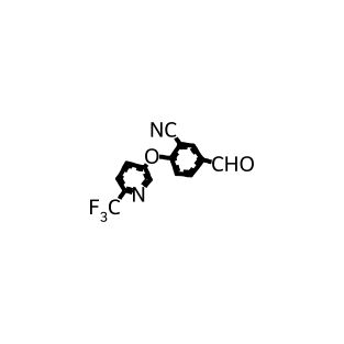 N#Cc1cc(C=O)ccc1Oc1ccc(C(F)(F)F)nc1